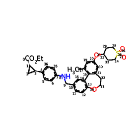 CCOC(=O)[C@H]1C[C@@H]1c1ccc(NCc2ccc3c(c2)-c2c(C)cc(OC4CCS(=O)(=O)CC4)cc2CCO3)cc1